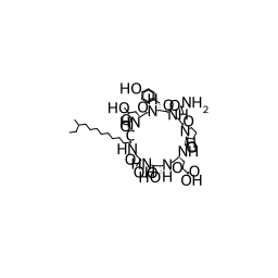 CCC(C)CCCCCCCCC1CC(=O)N[C@@H](CC(=O)O)C(=O)N[C@H](Cc2ccc(O)cc2)C(=O)N[C@H](CC(N)=O)C(=O)N2CCC[C@H]2C(=O)N[C@@H](CCC(=O)O)C(=O)N[C@H](CO)C(=O)N[C@@H]([C@@H](C)O)C(=O)N1